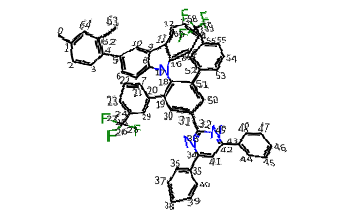 Cc1ccc(-c2ccc3c(c2)c2ccccc2n3-c2c(-c3cccc(C(F)(F)F)c3)cc(-c3nc(-c4ccccc4)cc(-c4ccccc4)n3)cc2-c2cccc(C(F)(F)F)c2)c(C)c1